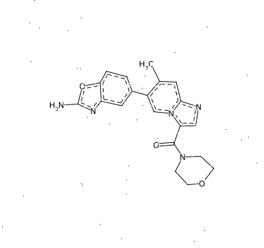 Cc1cc2ncc(C(=O)N3CCOCC3)n2cc1-c1ccc2oc(N)nc2c1